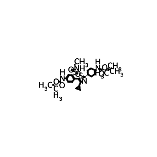 CCNS(=O)(=O)c1cc(NC(=O)OC(C)C)ccc1-c1sc([C@H]2CC[C@H](NC(=O)OC(C)(C)C)CC2)nc1C1CC1